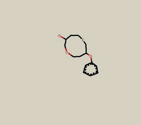 [O]C1CCCCC(Oc2cc[c]cc2)CCOC1